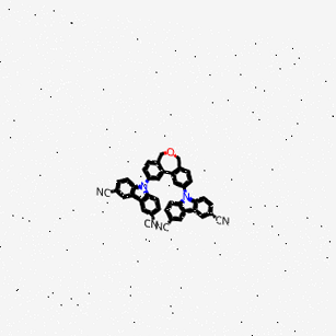 N#Cc1ccc2c(c1)c1cc(C#N)ccc1n2-c1ccc2c(c1)-c1cc(-n3c4ccc(C#N)cc4c4cc(C#N)ccc43)ccc1COC2